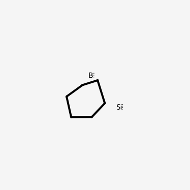 C1CCCCC1.[B].[Si]